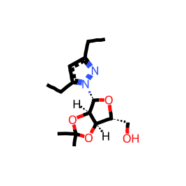 CCc1cc(CC)n([C@@H]2O[C@H](CO)[C@H]3OC(C)(C)O[C@H]32)n1